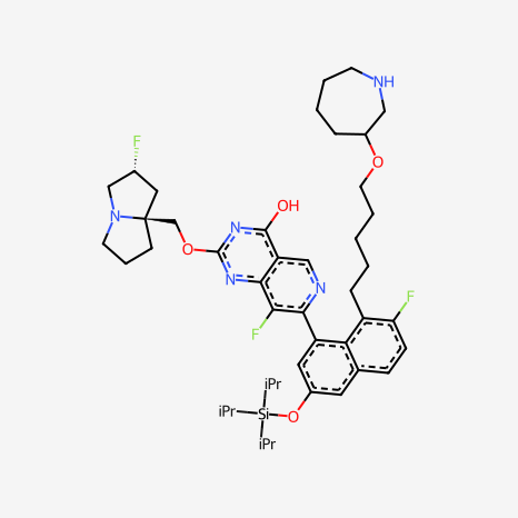 CC(C)[Si](Oc1cc(-c2ncc3c(O)nc(OC[C@@]45CCCN4C[C@H](F)C5)nc3c2F)c2c(CCCCCOC3CCCCNC3)c(F)ccc2c1)(C(C)C)C(C)C